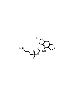 NCCCS(=O)(=O)NC(=O)Nc1c2c(cc3c1CCC3)CCC2.[K]